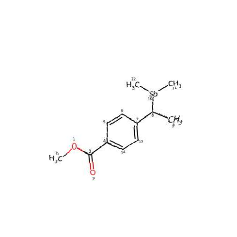 COC(=O)c1ccc([CH](C)[Sb]([CH3])[CH3])cc1